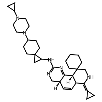 C1=C[C@@H]2CN=C(NC3CC34CCC(N3CCN(C5CC5)CC3)CC4)N=C2[C@H]2C1C(=C1CC1)NCC21CCCCC1